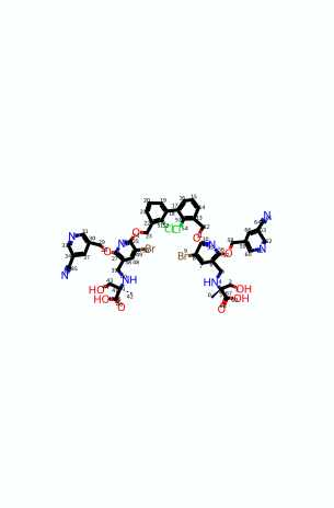 C[C@](CO)(NCc1cc(Br)c(OCc2cccc(-c3cccc(COc4nc(OCc5cncc(C#N)c5)c(CN[C@](C)(CO)C(=O)O)cc4Br)c3Cl)c2Cl)nc1OCc1cncc(C#N)c1)C(=O)O